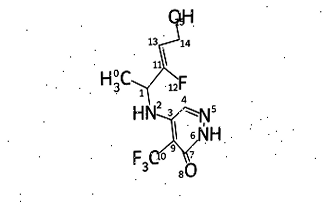 CC(Nc1cn[nH]c(=O)c1C(F)(F)F)C(F)=CCO